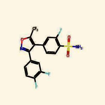 NS(=O)(=O)c1ccc(-c2c(-c3ccc(F)c(F)c3)noc2C(F)(F)F)cc1F